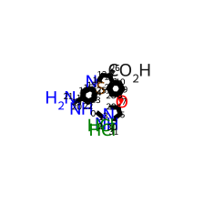 CC(=N)N1CC[C@H](Oc2ccc(C(Cc3nc4cc(C(=N)N)ccc4s3)C(=O)O)cc2)C1.Cl.Cl